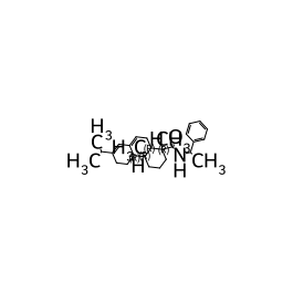 CC(C)C1=CC2=CC[C@@H]3[C@](C)(CCC[C@@]3(C)C(=O)NC(C)c3ccccc3)[C@H]2CC1